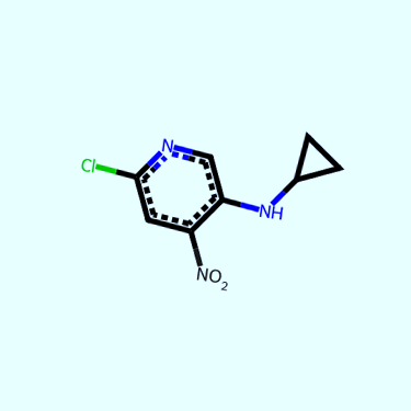 O=[N+]([O-])c1cc(Cl)ncc1NC1CC1